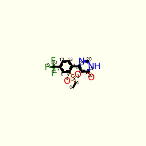 CCS(=O)(=O)c1cc(C(F)(F)F)ccc1-c1cc(=O)[nH]cn1